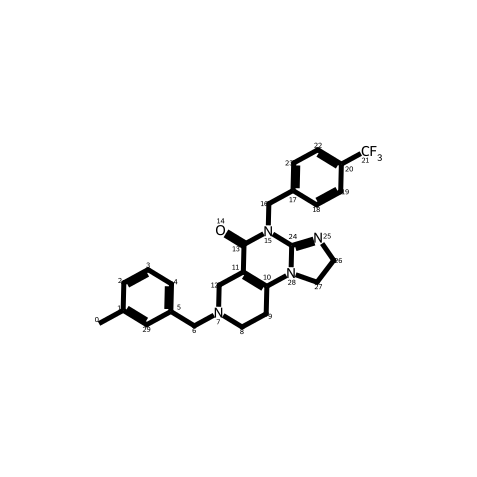 Cc1cccc(CN2CCC3=C(C2)C(=O)N(Cc2ccc(C(F)(F)F)cc2)C2=NCCN23)c1